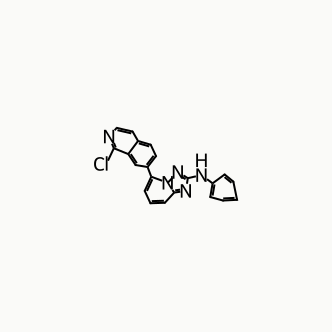 Clc1nccc2ccc(-c3cccc4nc(Nc5ccccc5)nn34)cc12